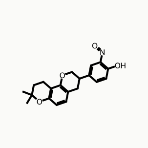 CC1(C)CCc2c(ccc3c2OCC(c2ccc(O)c(N=O)c2)C3)O1